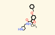 Cc1oc2ccc(OCc3ccccc3)cc2c1C(=O)NCC1CCNC1